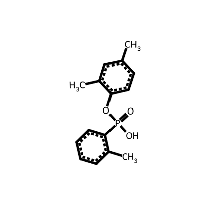 Cc1ccc(OP(=O)(O)c2ccccc2C)c(C)c1